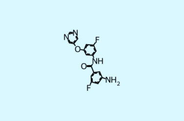 Nc1cc(F)cc(C(=O)Nc2cc(F)cc(Oc3cncnc3)c2)c1